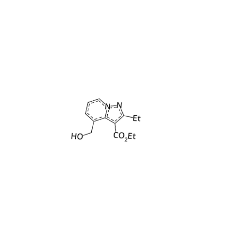 CCOC(=O)c1c(CC)nn2cccc(CO)c12